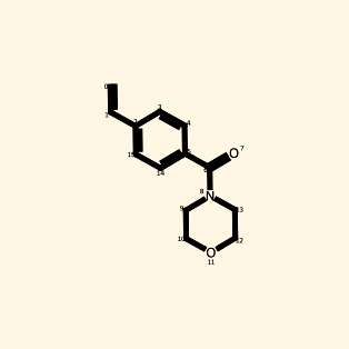 C=Cc1ccc(C(=O)N2CCOCC2)cc1